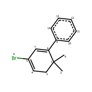 CC1(C)CC=C(Br)C=C1c1ccccc1